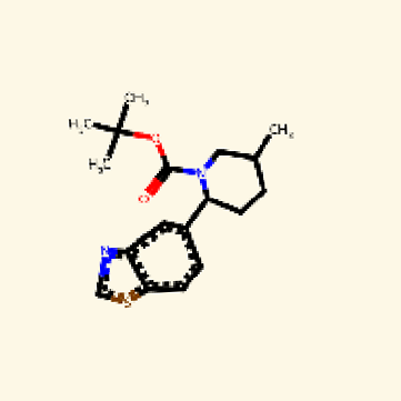 CC1CCC(c2ccc3scnc3c2)N(C(=O)OC(C)(C)C)C1